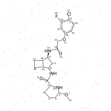 COC1CCCC(C(=O)NC2C[C@H](NC(=O)COc3ccc(Cl)c(F)c3)C3CCC23)N1